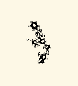 C[C@@H]1CN(c2cc(-n3ccc(OCCC4(C(C)(C)F)CC4)n3)ncc2C(=O)NS(=O)(=O)c2ccccc2)C(C)(C)C1